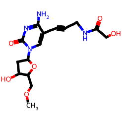 COCC1OC(n2cc(C#CCNC(=O)CO)c(N)nc2=O)CC1O